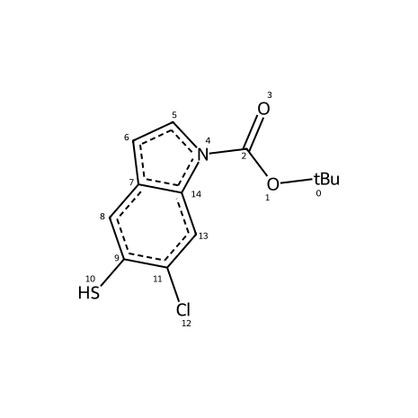 CC(C)(C)OC(=O)n1ccc2cc(S)c(Cl)cc21